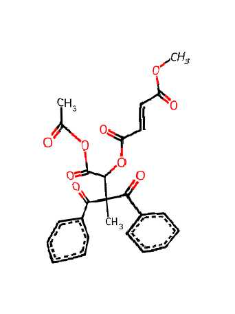 COC(=O)C=CC(=O)OC(C(=O)OC(C)=O)C(C)(C(=O)c1ccccc1)C(=O)c1ccccc1